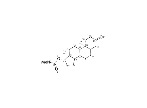 CNC(=O)O[C@H]1CCC2C3CCC4CC(=O)CC[C@]4(C)C3CC[C@@]21C